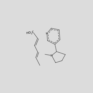 C/C=C/C=C/C(=O)O.CN1CCCC1c1cccnc1